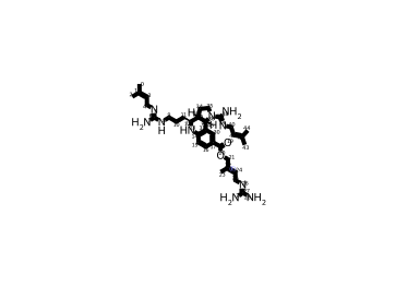 CC(C)=CCN=C(N)NCCC[C@@H]1Nc2ccc(C(=O)OC/C(C)=C/CN=C(N)N)cc2[C@@H]2[C@H]1CCN2C(N)=NCC=C(C)C